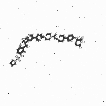 O=C1CCC(Nc2ccc(C3CCN(CC(=O)N4CCN(c5ccc(-c6cnc7[nH]cc(C(=O)c8c(F)ccc(NS(=O)(=O)N9CCCC9)c8F)c7c6)cn5)CC4)CC3)cc2)C(=O)N1